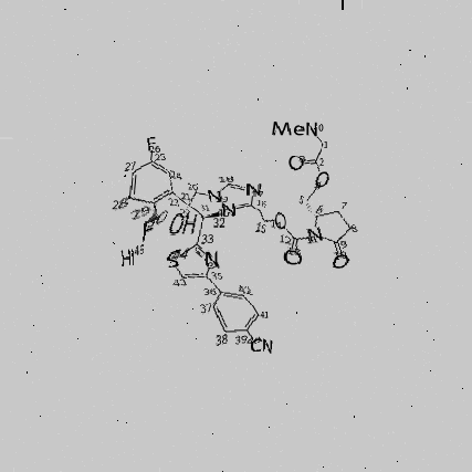 CNCC(=O)OC[C@@H]1CCC(=O)N1C(=O)OCc1ncn(C[C@](O)(c2cc(F)ccc2F)[C@@H](C)c2nc(-c3ccc(C#N)cc3)cs2)n1.I